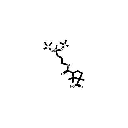 CC1(C(=O)O)CCC(C(=O)NCCC[Si](C)(O[Si](C)(C)C)O[Si](C)(C)C)C1(C)C